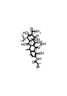 Br.CC1c2ccc(NC(=O)CBr)c(O)c2C(=O)C2=C(O)C3(O)C(=O)C(C(N)=O)=C(O)[C@@H](N(C)C)C3C(O)C21